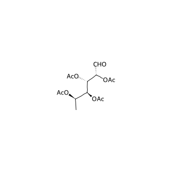 CC(=O)O[C@H]([C@H](OC(C)=O)[C@H](C=O)OC(C)=O)[C@@H](C)OC(C)=O